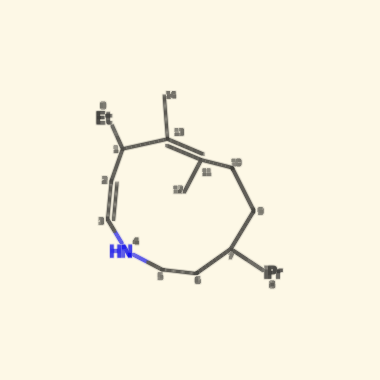 CCC1/C=C\NCCC(C(C)C)CC/C(C)=C/1C